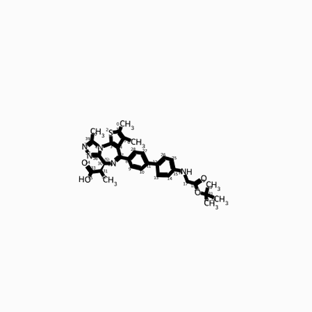 Cc1sc2c(c1C)C(c1ccc(-c3ccc(NCC(=O)OC(C)(C)C)cc3)cc1)=N[C@@H](C(C)C(=O)O)c1nnc(C)n1-2